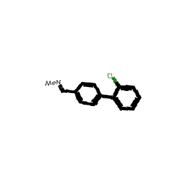 CNCc1ccc(-c2ccccc2Cl)cc1